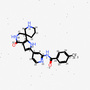 O=C(Nc1cc(-c2cc3c([nH]2)C2(CCCNC2)CNC3=O)ccn1)c1ccc(C(F)(F)F)cc1